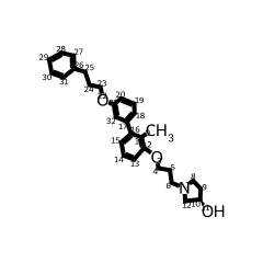 Cc1c(OCCCN2CC[C@@H](O)C2)cccc1-c1cccc(OCCCc2ccccc2)c1